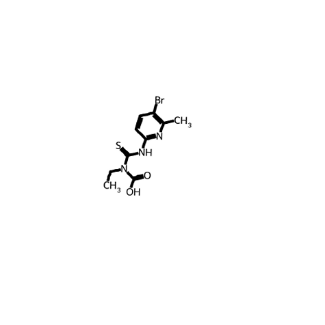 CCN(C(=O)O)C(=S)Nc1ccc(Br)c(C)n1